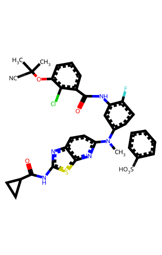 CN(c1ccc(F)c(NC(=O)c2cccc(OC(C)(C)C#N)c2Cl)c1)c1ccc2nc(NC(=O)C3CC3)sc2n1.O=S(=O)(O)c1ccccc1